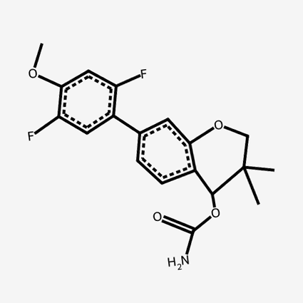 COc1cc(F)c(-c2ccc3c(c2)OCC(C)(C)C3OC(N)=O)cc1F